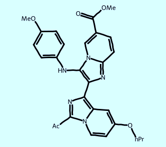 CCCOc1ccn2c(C(C)=O)nc(-c3nc4ccc(C(=O)OC)cn4c3Nc3ccc(OC)cc3)c2c1